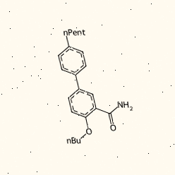 CCCCCc1ccc(-c2ccc(OCCCC)c(C(N)=O)c2)cc1